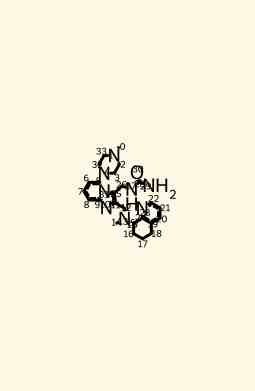 CN1CCN(c2cccc3nc(CN(C)[C@H]4CCCc5cccnc54)c(CNC(N)=O)n23)CC1